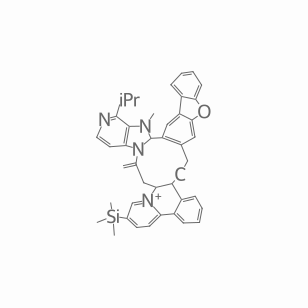 C=C1CC2C(CCc3cc4oc5ccccc5c4cc3C3N(C)c4c(ccnc4C(C)C)N13)c1ccccc1-c1ccc([Si](C)(C)C)c[n+]12